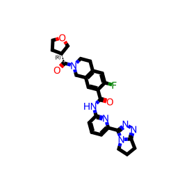 O=C(Nc1cccc(-c2nnc3n2CCC3)n1)c1cc2c(cc1F)CCN(C(=O)[C@@H]1CCOC1)C2